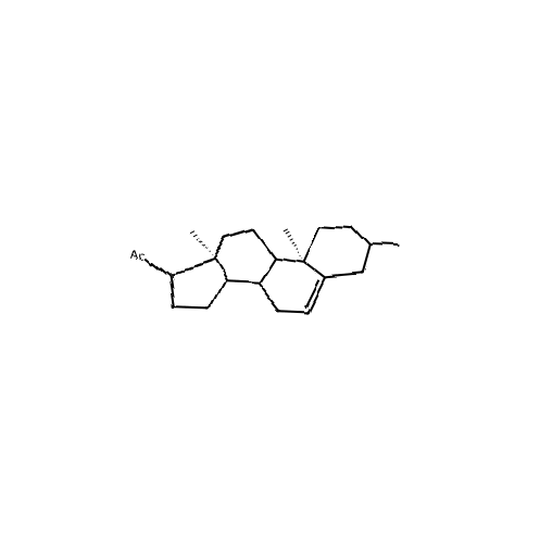 CC(=O)C1CCC2C3CC=C4CC(C)CC[C@]4(C)C3CC[C@]12C